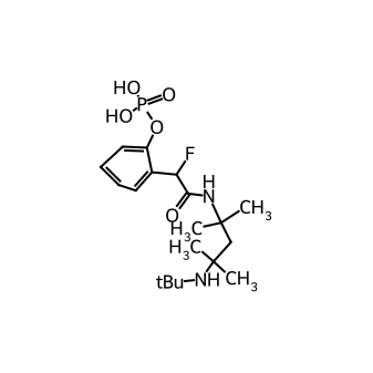 CC(C)(C)NC(C)(C)CC(C)(C)NC(=O)C(F)c1ccccc1OP(=O)(O)O